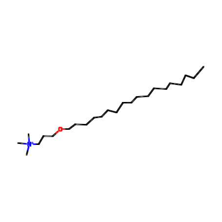 CCCCCCCCCCCCCCCCCCOCCC[N+](C)(C)C